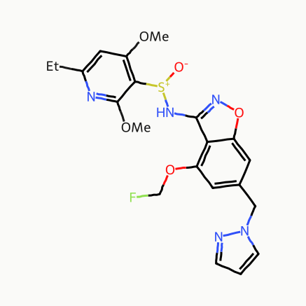 CCc1cc(OC)c([S+]([O-])Nc2noc3cc(Cn4cccn4)cc(OCF)c23)c(OC)n1